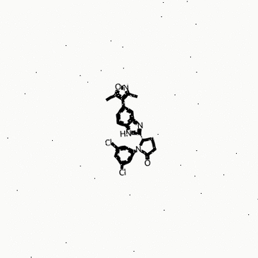 Cc1noc(C)c1-c1ccc2[nH]c([C@@H]3CCC(=O)N3c3cc(Cl)cc(Cl)c3)nc2c1